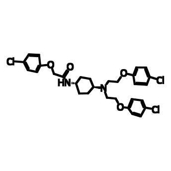 O=C(COc1ccc(Cl)cc1)N[C@H]1CC[C@H](N(CCOc2ccc(Cl)cc2)CCOc2ccc(Cl)cc2)CC1